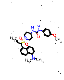 C=CC(c1cccc2c(N(C)C)cccc12)S(=O)(=O)N1CCC(NC(=O)Nc2ccc(OC(F)(F)F)cc2)CC1